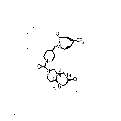 O=C1CO[C@H]2CCN(C(=O)N3CCC(Cn4ccc(C(F)(F)F)cc4=O)CC3)C[C@H]2N1